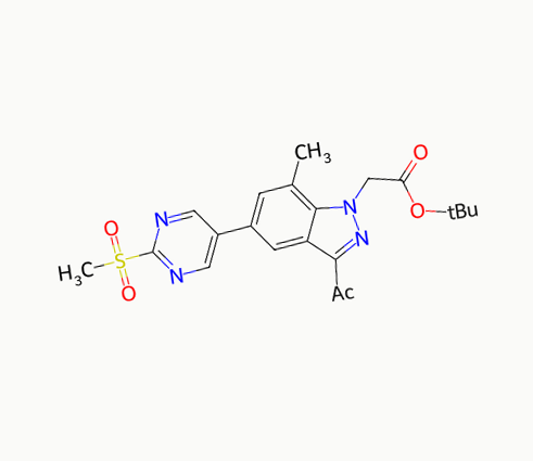 CC(=O)c1nn(CC(=O)OC(C)(C)C)c2c(C)cc(-c3cnc(S(C)(=O)=O)nc3)cc12